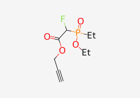 C#CCOC(=O)C(F)P(=O)(CC)OCC